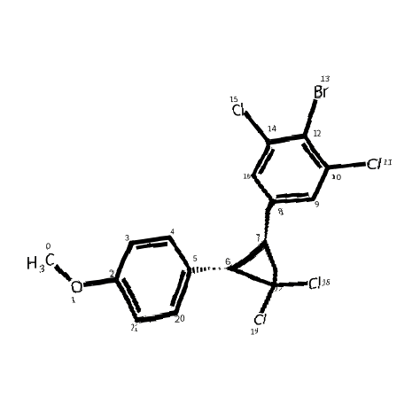 COc1ccc([C@@H]2[C@@H](c3cc(Cl)c(Br)c(Cl)c3)C2(Cl)Cl)cc1